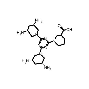 N[C@@H]1C[C@H](N)CN(c2nc(N3CCCC(C(=O)O)C3)nc(N3C[C@H](N)C[C@H](N)C3)n2)C1